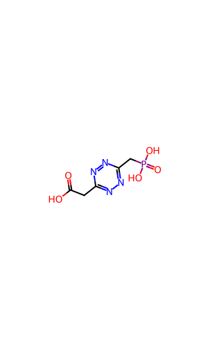 O=C(O)Cc1nnc(CP(=O)(O)O)nn1